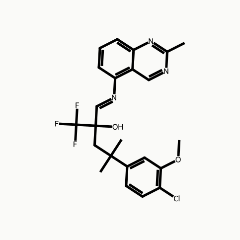 COc1cc(C(C)(C)CC(O)(C=Nc2cccc3nc(C)ncc23)C(F)(F)F)ccc1Cl